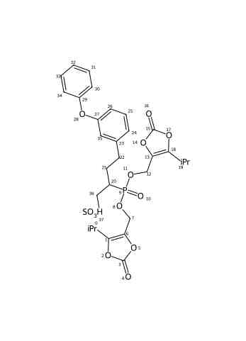 CC(C)c1oc(=O)oc1COP(=O)(OCc1oc(=O)oc1C(C)C)C(CCc1cccc(Oc2ccccc2)c1)CS(=O)(=O)O